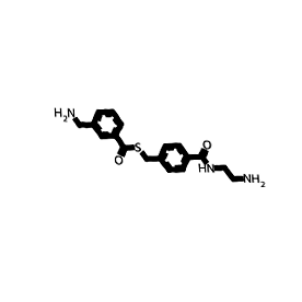 NCCNC(=O)c1ccc(CSC(=O)c2cccc(CN)c2)cc1